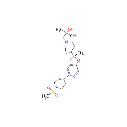 CC(C)(O)CN1CCC([C@@]2(C)Cc3cc(C4=CCN(S(C)(=O)=O)CC4)ncc3O2)CC1